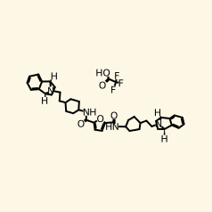 O=C(NC1CCC(CCN2[C@@H]3CC[C@H]2c2ccccc23)CC1)c1ccc(C(=O)NC2CCC(CCN3[C@@H]4CC[C@H]3c3ccccc34)CC2)o1.O=C(O)C(F)(F)F